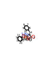 COC(=O)[C@H](Cc1ccccc1)NP(C)(=O)Oc1ccccc1